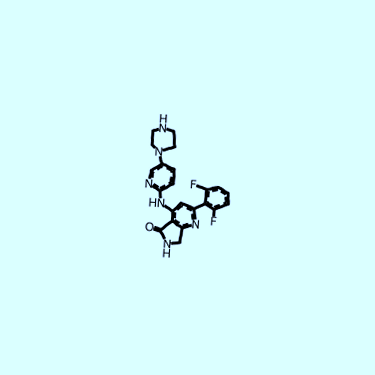 O=C1NCc2nc(-c3c(F)cccc3F)cc(Nc3ccc(N4CCNCC4)cn3)c21